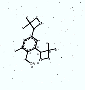 Cc1cc(C2OCC2(C)C)cc(C2OCC2(C)C)c1CO